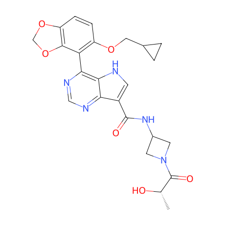 C[C@H](O)C(=O)N1CC(NC(=O)c2c[nH]c3c(-c4c(OCC5CC5)ccc5c4OCO5)ncnc23)C1